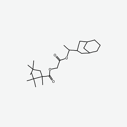 CC(OC(=O)COC(=O)C(C)(CC(C)(C)C)C(C)(C)C)C1CC2CCCC(C2)C1